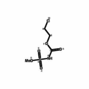 COS(=O)(=O)NC(=O)OCCCl